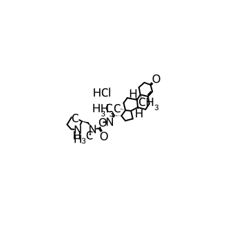 C/C(=N\OC(=O)N(C)C[C@@H]1CCCCN1)[C@H]1CCC2[C@@H]3CCC4=CC(=O)CC[C@]4(C)[C@H]3CC[C@@]21C.Cl